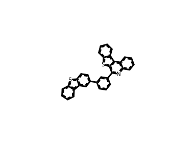 c1cc(-c2ccc3sc4ccccc4c3c2)cc(-c2nc3ccccc3c3c2sc2ccccc23)c1